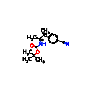 C[C@H](NC(=O)OC(C)(C)C)[C@@H](C)c1ccc(C#N)cc1